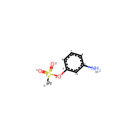 CC(C)S(=O)(=O)Oc1cccc(N)c1